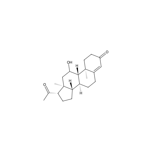 CC(=O)[C@H]1CC[C@H]2[C@@H]3CCC4=CC(=O)CC[C@]4(C)[C@H]3C(O)C[C@]12C